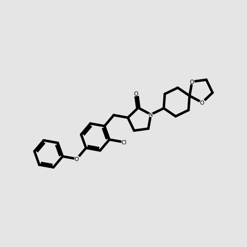 O=C1C(Cc2ccc(Oc3ccccc3)cc2Cl)CCN1C1CCC2(CC1)OCCO2